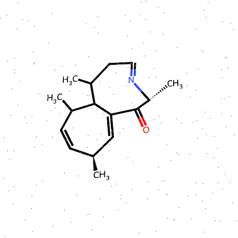 CC1C=C[C@H](C)C=C2C(=O)[C@@H](C)/N=C/CC(C)C21